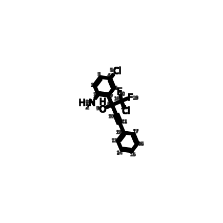 Nc1ccc(Cl)cc1C(O)(C#Cc1ccccc1)C(F)(F)Cl